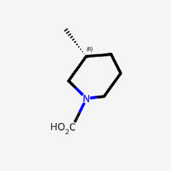 C[C@@H]1CCCN(C(=O)O)C1